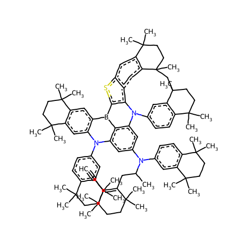 C#CC1=C(CC(C)N(c2cc3c4c(c2)N2c5ccc6c(c5)C(C)(CCC6(C)C)CC5(C)CCC(C)(C)c6cc7sc(c2c7cc65)B4c2cc4c(cc2N3c2ccc3c(c2)C(C)(C)CCC3(C)C)C(C)(C)CCC4(C)C)c2ccc3c(c2)C(C)(C)CCC3(C)C)C(C)(C)CCC1(C)C